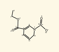 CCOC(=O)C1=CN([N+](=O)[O-])CC=C1